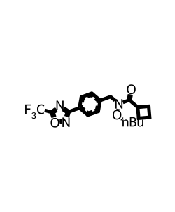 CCCCON(Cc1ccc(-c2noc(C(F)(F)F)n2)cc1)C(=O)C1CCC1